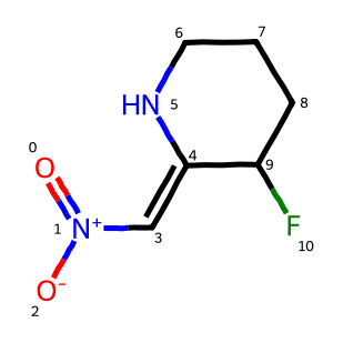 O=[N+]([O-])C=C1NCCCC1F